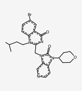 CC(C)CCn1c(Cn2c(=O)n(C3CCOCC3)c3ccncc32)nc(=O)c2cc(Br)ccc21